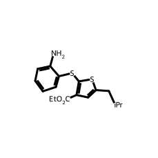 CCOC(=O)c1cc(CC(C)C)sc1Sc1ccccc1N